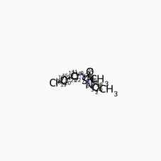 Cc1ccc(/N=C2/S/C(=C\c3ccc(-c4ccc(Cl)cc4)cc3)C(=O)N2C)cc1